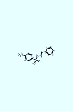 O=[N+]([O-])c1ccc(S(=O)(=O)ON=Cc2ccccc2)cc1